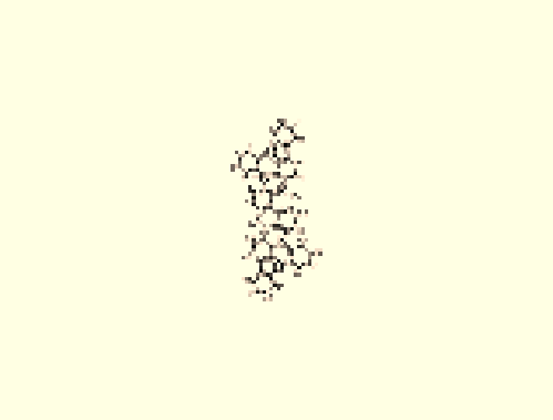 C1=CC(N(c2ccccc2)c2cccc3c2oc2ccccc23)C2=CCc3ccc(N(c4ccccc4)c4cccc5c4oc4ccccc45)c4ccc1c2c34